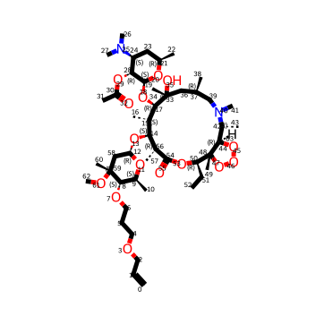 C=CCOCCCO[C@H]1[C@H](C)O[C@@H](O[C@H]2[C@H](C)[C@@H](O[C@@H]3O[C@H](C)C[C@H](N(C)C)[C@H]3OC(C)=O)[C@](C)(O)C[C@@H](C)CN(C)[C@H](C)[C@H]3OOO[C@]3(C)[C@@H](CC)OC(=O)[C@@H]2C)C[C@@]1(C)OC